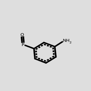 Nc1cccc(P=O)c1